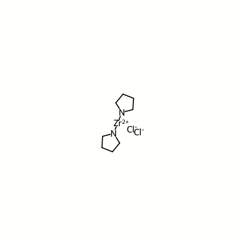 C1CC[N]([Zr+2][N]2CCCC2)C1.[Cl-].[Cl-]